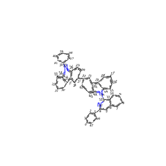 c1ccc(-c2cc3ccccc3c(-n3c4ccccc4c4cc(-c5ccc6c(c5)c5ccccc5n6-c5ccccc5)ccc43)n2)cc1